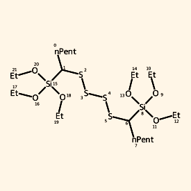 CCCCCC(SSSSC(CCCCC)[Si](OCC)(OCC)OCC)[Si](OCC)(OCC)OCC